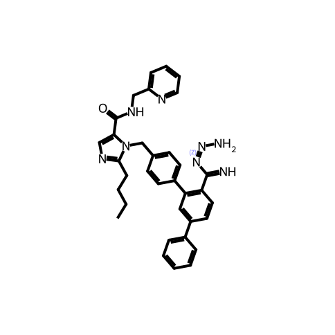 CCCCc1ncc(C(=O)NCc2ccccn2)n1Cc1ccc(-c2cc(-c3ccccc3)ccc2C(=N)/N=N\N)cc1